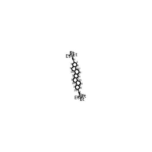 CC[Si](C#Cc1ccc2c(ccc3c4cc5ccc6c7ccc(C#C[Si](CC)(CC)CC)cc7ccc6c5cc4ccc23)c1)(CC)CC